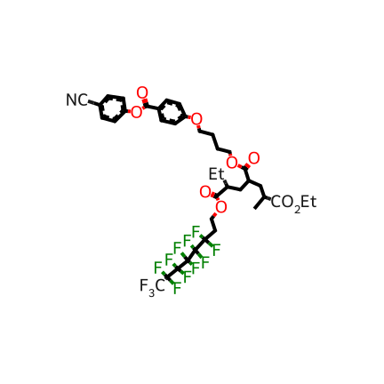 CCOC(=O)C(C)CC(CC(CC)C(=O)OCCC(F)(F)C(F)(F)C(F)(F)C(F)(F)C(F)(F)C(F)(F)F)C(=O)OCCCCOc1ccc(C(=O)Oc2ccc(C#N)cc2)cc1